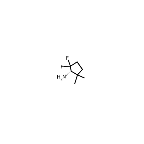 CC1(C)CCC(F)(F)[C@H]1N